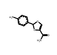 NC(=O)C1=COC(c2ccc(N)cc2)O1